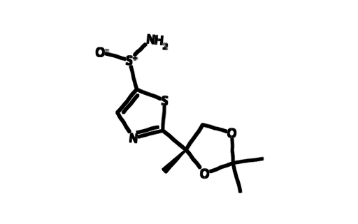 CC1(C)OC[C@@](C)(c2ncc([S+](N)[O-])s2)O1